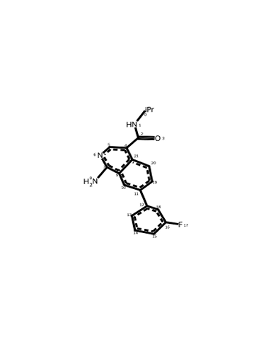 CC(C)NC(=O)c1cnc(N)c2cc(-c3cccc(F)c3)ccc12